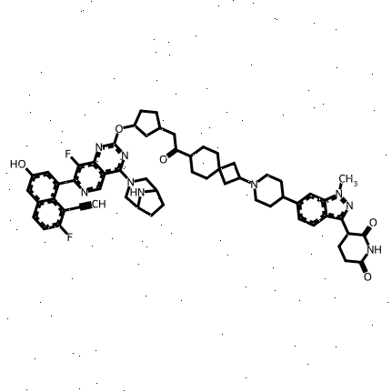 C#Cc1c(F)ccc2cc(O)cc(-c3ncc4c(N5CC6CCC(C5)N6)nc(OC5CCC(CC(=O)C6CCC7(CC6)CC(N6CCC(c8ccc9c(C%10CCC(=O)NC%10=O)nn(C)c9c8)CC6)C7)C5)nc4c3F)c12